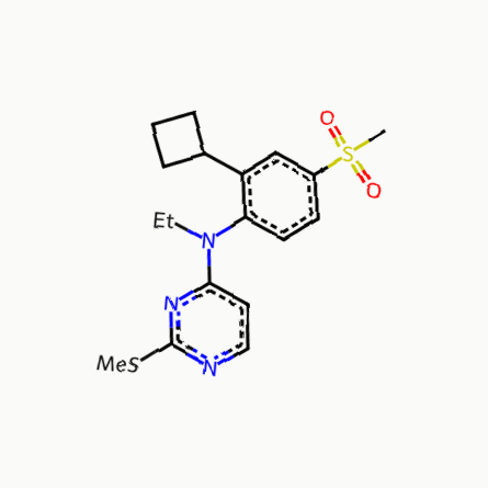 CCN(c1ccnc(SC)n1)c1ccc(S(C)(=O)=O)cc1C1CCC1